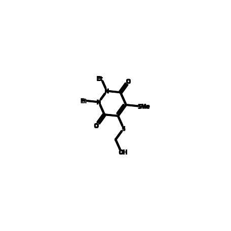 CCn1c(=O)c(SC)c(SCO)c(=O)n1CC